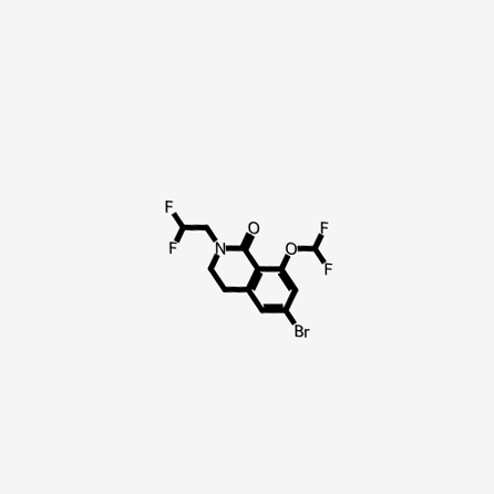 O=C1c2c(cc(Br)cc2OC(F)F)CCN1CC(F)F